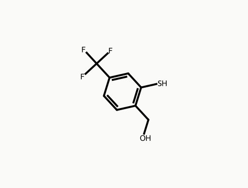 OCc1ccc(C(F)(F)F)cc1S